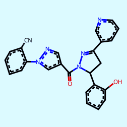 N#Cc1ccccc1-n1cc(C(=O)N2N=C(c3cccnc3)CC2c2ccccc2O)cn1